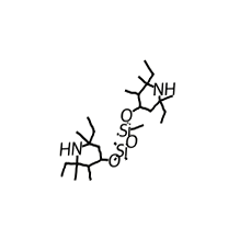 CCC1(C)CC(O[Si](C)(C)O[Si](C)(C)OC2CC(C)(CC)NC(C)(CC)C2C)C(C)C(C)(CC)N1